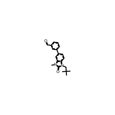 Cn1c(=O)n(CC(C)(C)C)c2ccc(-c3cccc(C=O)c3)cc21